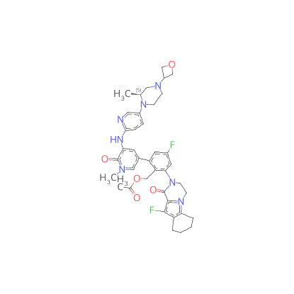 CC(=O)OCc1c(-c2cc(Nc3ccc(N4CCN(C5COC5)C[C@@H]4C)cn3)c(=O)n(C)c2)cc(F)cc1N1CCn2c3c(c(F)c2C1=O)CCCC3